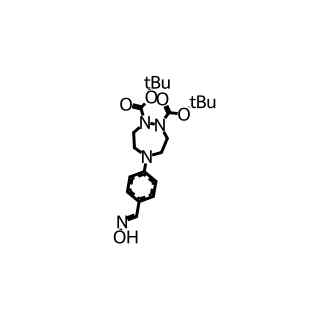 CC(C)(C)OC(=O)N1CCN(c2ccc(/C=N/O)cc2)CCN1C(=O)OC(C)(C)C